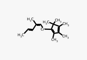 CC=CC(C)=[CH][Cr][C]1=C(C)C(C)=C(C)C1(C)C